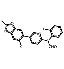 Cc1nc2cc(Cl)c(-c3ccc(N(C=O)c4ccccc4F)nc3)cc2o1